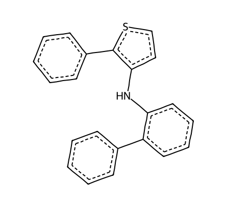 c1ccc(-c2ccccc2Nc2ccsc2-c2ccccc2)cc1